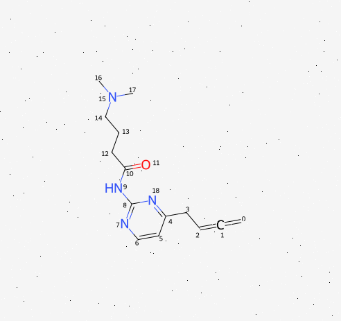 C=C=CCc1ccnc(NC(=O)CCCN(C)C)n1